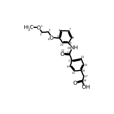 COCCOc1cccc(NC(=O)c2ccc(CC(=O)O)cc2)c1